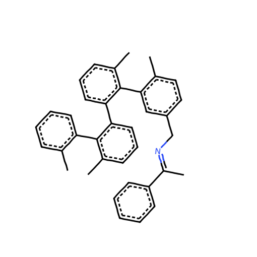 C/C(=N\Cc1ccc(C)c(-c2c(C)cccc2-c2cccc(C)c2-c2ccccc2C)c1)c1ccccc1